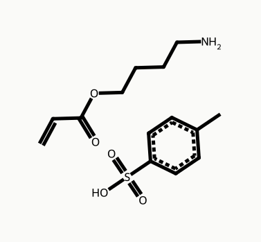 C=CC(=O)OCCCCN.Cc1ccc(S(=O)(=O)O)cc1